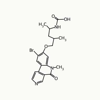 CC(COc1cc2c(cc1Br)c1ccncc1c(=O)n2C)CC(C)NC(=O)O